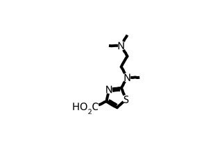 CN(C)CCN(C)c1nc(C(=O)O)cs1